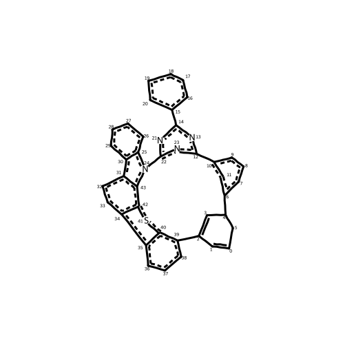 C1=CC2=CC(C1)c1cccc(c1)-c1nc(-c3ccccc3)nc(n1)-n1c3ccccc3c3ccc4c5cccc2c5sc4c31